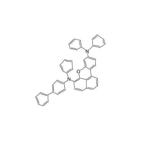 c1ccc(-c2ccc(N(c3ccccc3)c3ccc4cccc5c4c3Oc3cc(N(c4ccccc4)c4ccccc4)ccc3-5)cc2)cc1